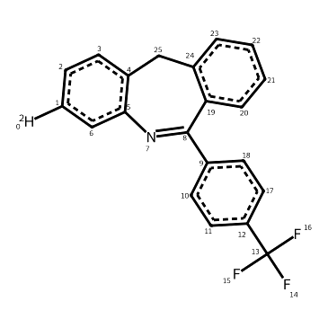 [2H]c1ccc2c(c1)N=C(c1ccc(C(F)(F)F)cc1)c1ccccc1C2